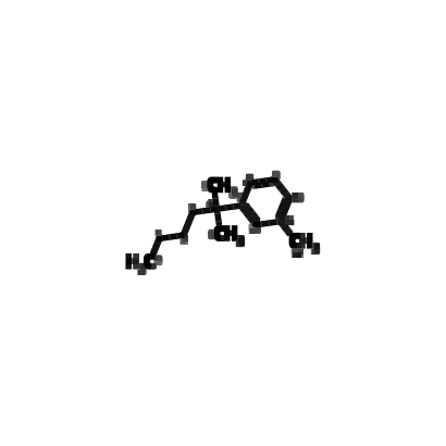 CCCCC(C)(C)c1[c]ccc(C)c1